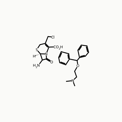 CN(C)CCOC(c1ccccc1)c1ccccc1.NC1C(=O)N2C(C(=O)O)=C(CCl)CS[C@H]12